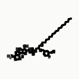 C#C[C@@]1(c2ccc3c(N)ncnn23)O[C@H](COP(=O)(O)OC[C@@H](COCCCCCCCCCCCCCCCCCC)OCc2ccc(F)c(C#N)c2)[C@@H](O)[C@H]1O